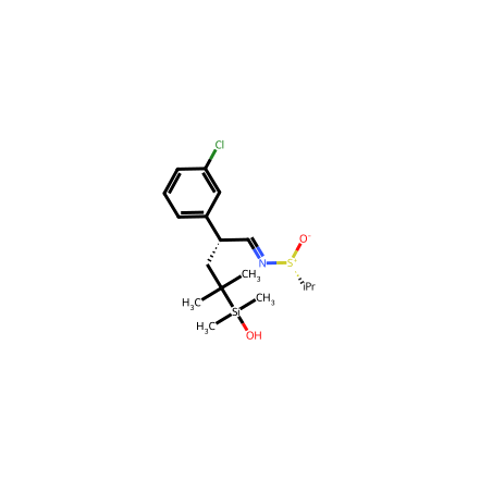 CC(C)[S@@+]([O-])/N=C/[C@H](CC(C)(C)[Si](C)(C)O)c1cccc(Cl)c1